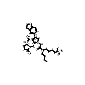 CCCCN(CCCC[N+](C)(C)C)C(=O)CN1C[C@H](c2ccc3c(c2)CCO3)[C@@H](C(=O)O)[C@@H]1CN1CCCC1=O